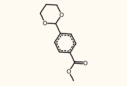 COC(=O)c1ccc(C2OCCCO2)cc1